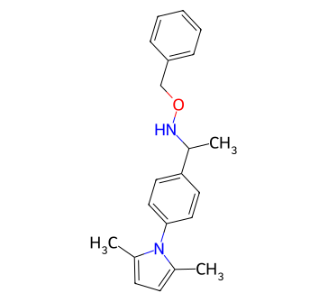 Cc1ccc(C)n1-c1ccc(C(C)NOCc2ccccc2)cc1